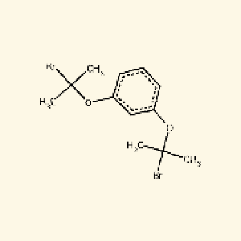 CC(C)(Br)Oc1cccc(OC(C)(C)Br)c1